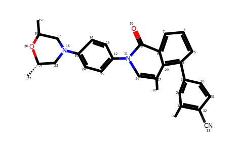 Cc1cc(-c2cccc3c(=O)n(-c4ccc(N5CC(C)O[C@@H](C)C5)cc4)cc(C)c23)ccc1C#N